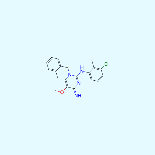 COc1cn(Cc2ccccc2C)c(Nc2cccc(Cl)c2C)nc1=N